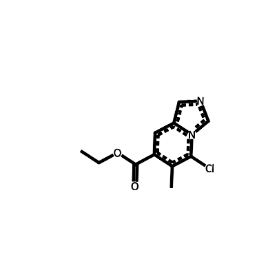 CCOC(=O)c1cc2cncn2c(Cl)c1C